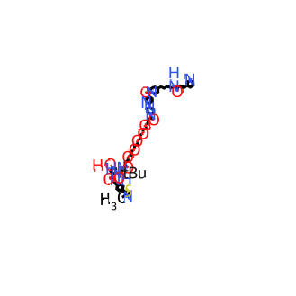 Cc1ncsc1-c1ccc(CNC(=O)[C@@H]2C[C@@H](O)CN2C(=O)[C@@H](NC(=O)CCOCCOCCOCCOCCOCCC(=O)N2CCN(c3ccc(C(=O)N4CCC(CCCCNC(=O)/C=C/c5cccnc5)CC4)cn3)CC2)C(C)(C)C)cc1